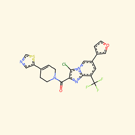 O=C(c1nc2c(C(F)(F)F)cc(-c3ccoc3)cn2c1Cl)N1CC=C(c2cncs2)CC1